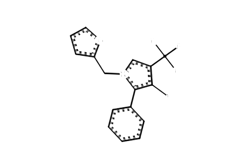 FC(F)(F)c1cn(Cc2ccco2)c(-c2ccccc2)c1I